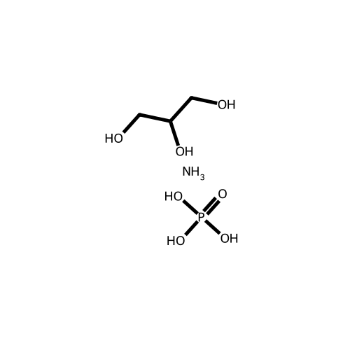 N.O=P(O)(O)O.OCC(O)CO